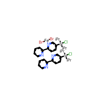 CC(C)[Si](Cl)(c1ccc(-c2ccccn2)nc1)C(C)C.CC(C)[Si](Cl)(c1ccc(-c2ccccn2)nc1)C(C)C.[Br][Fe][Br]